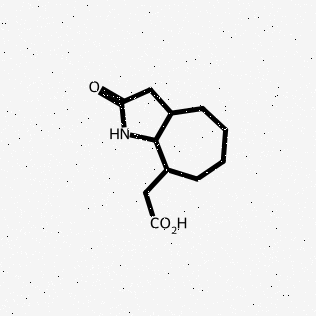 O=C(O)CC1CCCCC2CC(=O)NC12